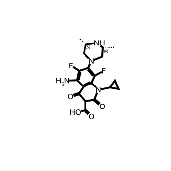 C[C@@H]1CN(c2c(F)c(N)c3c(c2F)N(C2CC2)C(=O)C(C(=O)O)C3=O)C[C@H](C)N1